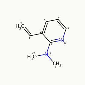 C=Cc1cccnc1N(C)C